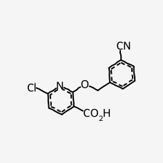 N#Cc1cccc(COc2nc(Cl)ccc2C(=O)O)c1